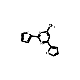 Cc1cc(-c2ccco2)nc(-c2ccco2)n1